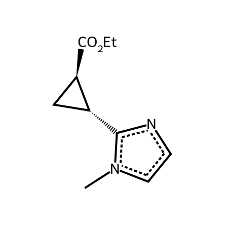 CCOC(=O)[C@@H]1C[C@H]1c1nccn1C